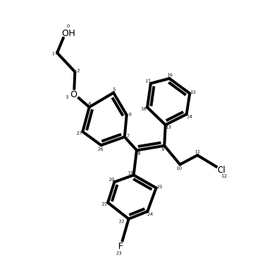 OCCOc1ccc(C(=C(CCCl)c2ccccc2)c2ccc(F)cc2)cc1